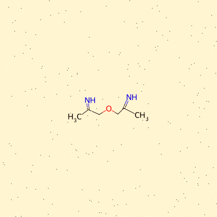 CC(=N)COCC(C)=N